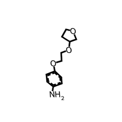 Nc1ccc(OCCOC2CCOC2)cc1